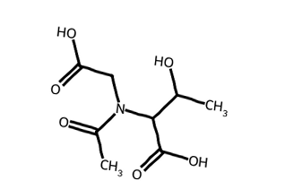 CC(=O)N(CC(=O)O)C(C(=O)O)C(C)O